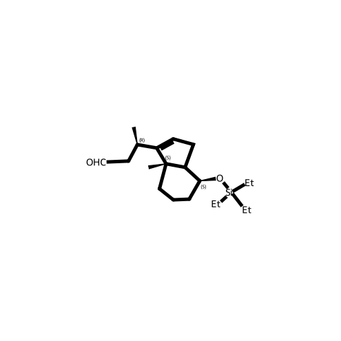 CC[Si](CC)(CC)O[C@H]1CCC[C@]2(C)C([C@H](C)CC=O)=CCC12